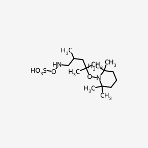 CC(CNOS(=O)(=O)O)CC(C)(C)ON1C(C)(C)CCCC1(C)C